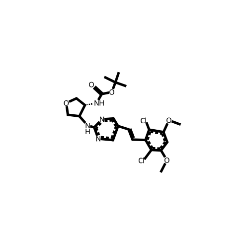 COc1cc(OC)c(Cl)c(/C=C/c2cnc(NC3COC[C@@H]3NC(=O)OC(C)(C)C)nc2)c1Cl